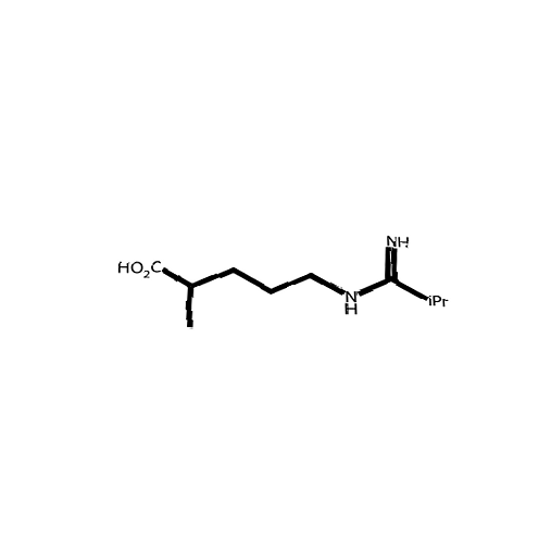 CC(C)C(=N)NCCCC(C)C(=O)O